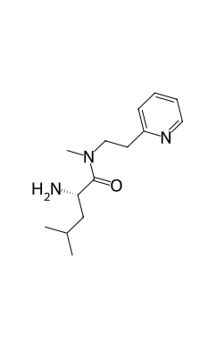 CC(C)C[C@H](N)C(=O)N(C)CCc1ccccn1